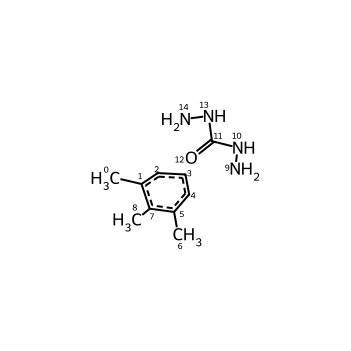 Cc1cccc(C)c1C.NNC(=O)NN